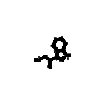 CC(C)(C)OC(=O)c1n[nH]c2ccccc12